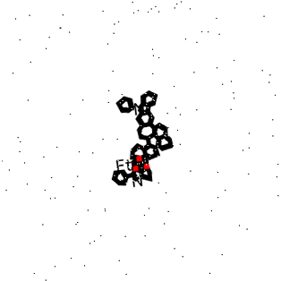 CCC1=C(\c2cccc3c(C4CCc5cc6c(cc5-c5ccc7ccccc7c54)c4ccccc4n6-c4ccccc4)cccc23)CC/C=C(c2ccccc2)/N=C\1c1ccccc1